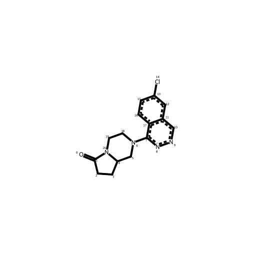 O=C1CCC2CN(c3nncc4cc(Cl)ccc34)CCN12